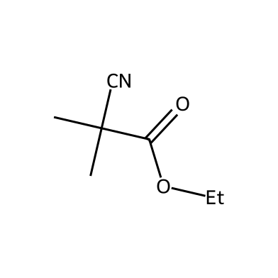 CCOC(=O)C(C)(C)C#N